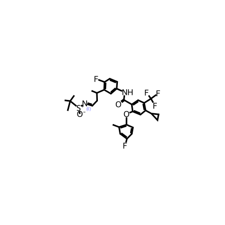 Cc1cc(F)ccc1Oc1cc(C2CC2)c(C(F)(F)F)cc1C(=O)Nc1ccc(F)c(C(C)C/C=N/[S+]([O-])C(C)(C)C)c1